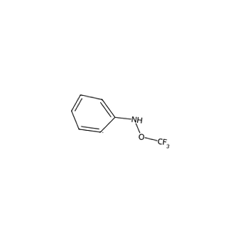 FC(F)(F)ONc1[c]cccc1